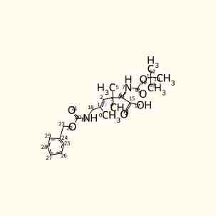 C/C(=C\C(C)(C)[C@@H](NC(=O)OC(C)(C)C)C(=O)O)CNC(=O)OCc1ccccc1